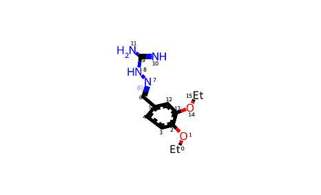 CCOc1ccc(/C=N/NC(=N)N)cc1OCC